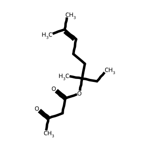 CCC(C)(CCC=C(C)C)OC(=O)CC(C)=O